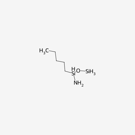 CCCCC[SiH](N)O[SiH3]